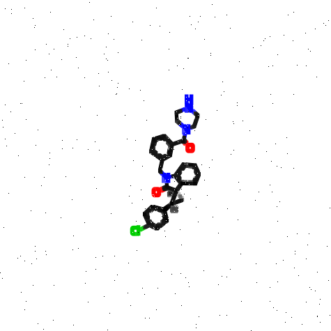 O=C(c1cccc(CN2C(=O)[C@@]3(C[C@H]3c3ccc(Cl)cc3)c3ccccc32)c1)N1CCNCC1